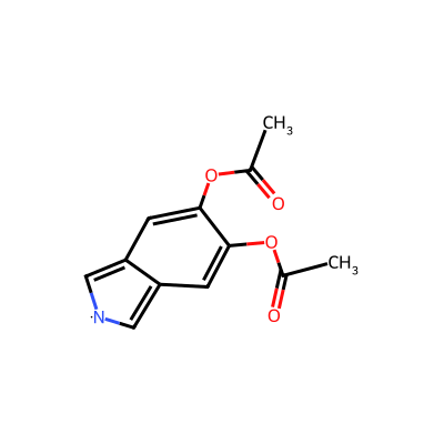 CC(=O)Oc1cc2c(cc1OC(C)=O)=C[N]C=2